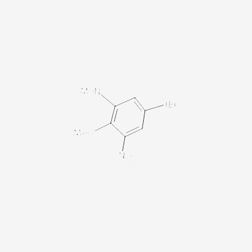 CNc1cc(C(C)(C)C)cc([N+](=O)[O-])c1OC